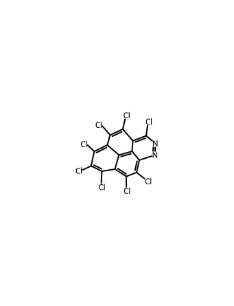 Clc1c(Cl)c2c(Cl)c(Cl)c3nnc(Cl)c4c(Cl)c(Cl)c(c1Cl)c2c34